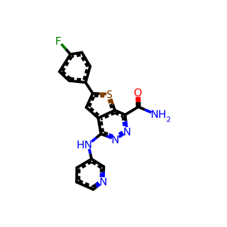 NC(=O)c1nnc(Nc2cccnc2)c2cc(-c3ccc(F)cc3)sc12